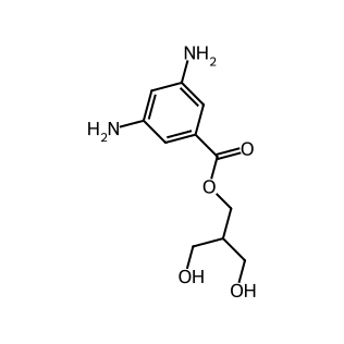 Nc1cc(N)cc(C(=O)OCC(CO)CO)c1